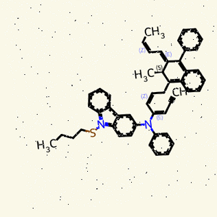 C#C/C=C(\C=C/CC1=c2ccccc2=C(c2ccccc2)/C(=C/C=C\C)[C@@H]1C)N(c1ccccc1)c1ccc2c(c1)c1ccccc1n2SCCCC